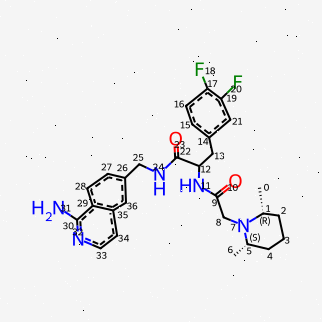 C[C@@H]1CCC[C@H](C)N1CC(=O)NC(Cc1ccc(F)c(F)c1)C(=O)NCc1ccc2c(N)nccc2c1